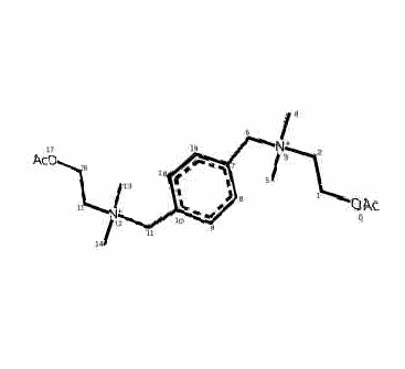 CC(=O)OCC[N+](C)(C)Cc1ccc(C[N+](C)(C)CCOC(C)=O)cc1